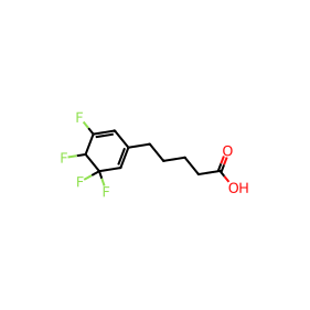 O=C(O)CCCCC1=CC(F)(F)C(F)C(F)=C1